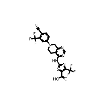 N#Cc1ccc(N2CCc3c(ncnc3Nc3nc(C(F)(F)F)c(C(=O)O)s3)C2)cc1C(F)(F)F